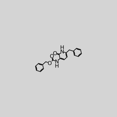 O=C(Nc1ccc(Cc2ccccc2)[nH]c1=O)OCc1ccccc1